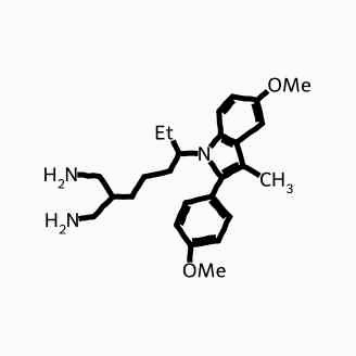 CCC(CCCC(CN)CN)n1c(-c2ccc(OC)cc2)c(C)c2cc(OC)ccc21